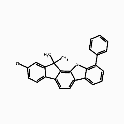 CC1(C)c2cc(Cl)ccc2-c2ccc3c(sc4c(-c5ccccc5)cccc43)c21